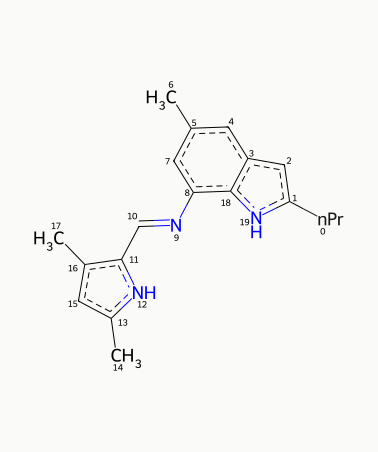 CCCc1cc2cc(C)cc(/N=C/c3[nH]c(C)cc3C)c2[nH]1